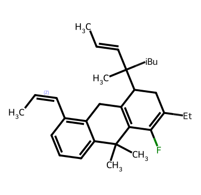 CC=CC(C)(C(C)CC)C1CC(CC)=C(F)C2=C1Cc1c(/C=C\C)cccc1C2(C)C